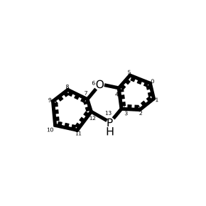 c1ccc2c(c1)Oc1ccccc1P2